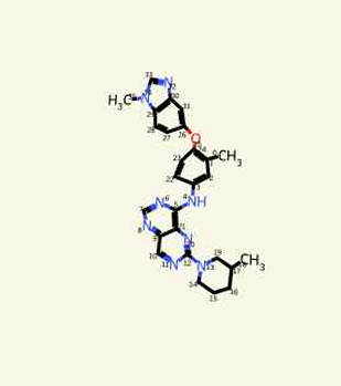 Cc1cc(Nc2ncnc3cnc(N4CCCC(C)C4)nc23)ccc1Oc1ccc2c(c1)ncn2C